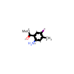 COC(=O)c1cc(I)c(C)cc1N